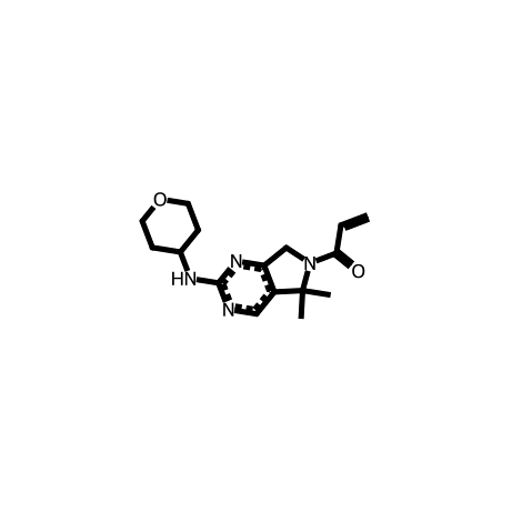 C=CC(=O)N1Cc2nc(NC3CCOCC3)ncc2C1(C)C